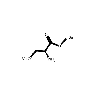 CCCCOC(=O)[C@@H](N)COC